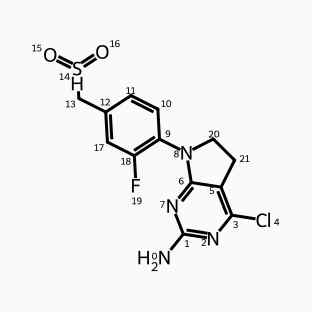 Nc1nc(Cl)c2c(n1)N(c1ccc(C[SH](=O)=O)cc1F)CC2